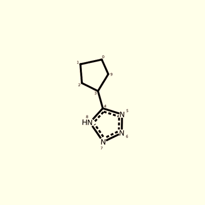 C1CCC(c2nnn[nH]2)C1